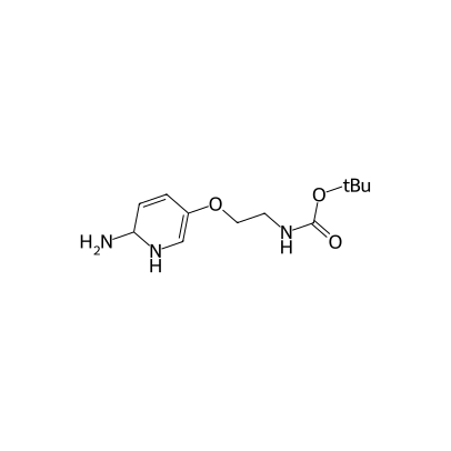 CC(C)(C)OC(=O)NCCOC1=CNC(N)C=C1